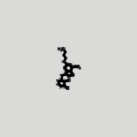 CCCCSc1nc(N)c2ncn(Cc3cccc(Cl)c3Cl)c2n1